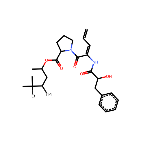 C=C/C=C(/NC(=O)C(O)Cc1ccccc1)C(=O)N1CCCC1C(=O)OC(C)CC(CCC)C(C)(C)CC